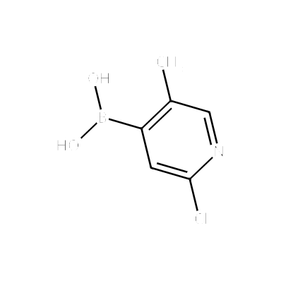 Cc1cnc(Cl)cc1B(O)O